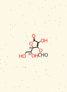 O=COC1=C(O)C(=O)O[C@@H]1[C@@H](O)CO